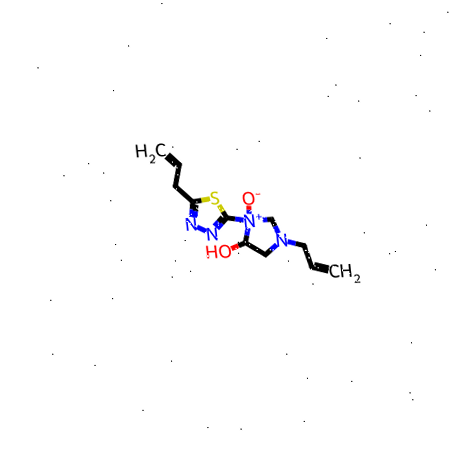 C=CCc1nnc([N+]2([O-])CN(CC=C)CC2O)s1